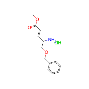 COC(=O)C=CC(N)COCc1ccccc1.Cl